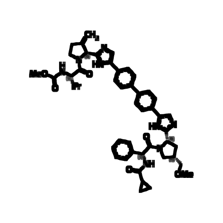 C=C1CCN(C(=O)[C@@H](NC(=O)OC)C(C)C)[C@@H]1c1ncc(-c2ccc(-c3ccc(-c4cnc([C@@H]5C[C@H](COC)CN5C(=O)[C@H](NC(=O)C5CC5)c5ccccc5)[nH]4)cc3)cc2)[nH]1